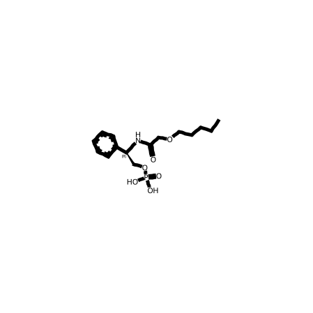 CCCCCOCC(=O)N[C@@H](COP(=O)(O)O)c1ccccc1